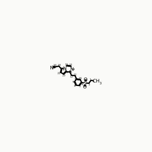 CCCS(=O)(=O)c1cccc(CCc2nccn3c(CC#N)ccc23)c1